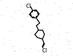 Cl/C=C/C1CCC(CCc2ccc(Cl)cc2)CC1